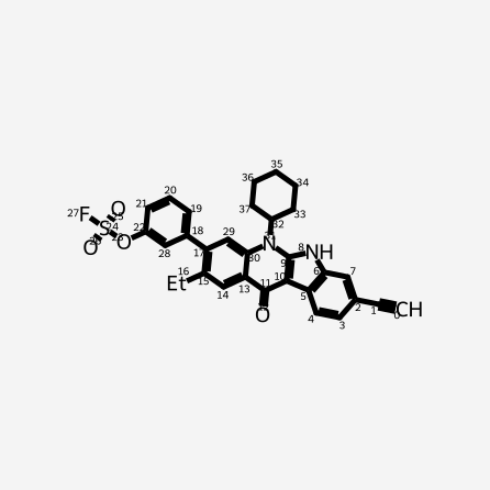 C#Cc1ccc2c(c1)[nH]c1c2c(=O)c2cc(CC)c(-c3cccc(OS(=O)(=O)F)c3)cc2n1C1CCCCC1